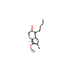 C=CCCC1=C2CC(C)C(OC(C)(C)C)[C@@]2(C)CCC1=O